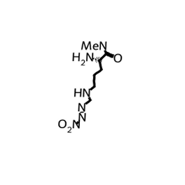 CNC(=O)[C@@H](N)CCCNCN=N[N+](=O)[O-]